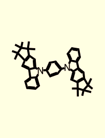 CC1(C)c2cc3c4ccccc4n(-c4ccc(-n5c6ccccc6c6cc7c(cc65)C(C)(C)C(C)(C)C7(C)C)cc4)c3cc2C(C)(C)C1(C)C